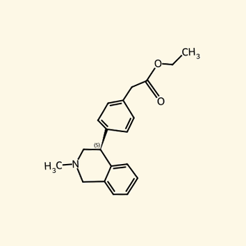 CCOC(=O)Cc1ccc([C@@H]2CN(C)Cc3ccccc32)cc1